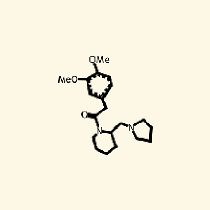 COc1ccc(CC(=O)N2CCCCC2CN2CCCC2)cc1OC